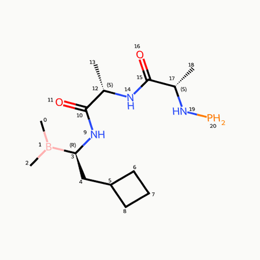 CB(C)[C@H](CC1CCC1)NC(=O)[C@H](C)NC(=O)[C@H](C)NP